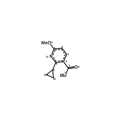 COc1ccc(C(=O)C(C)(C)C)c(C2CC2)n1